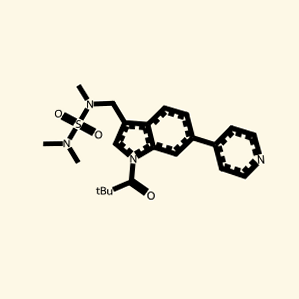 CN(C)S(=O)(=O)N(C)Cc1cn(C(=O)C(C)(C)C)c2cc(-c3ccncc3)ccc12